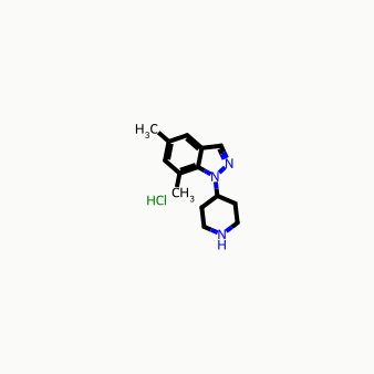 Cc1cc(C)c2c(cnn2C2CCNCC2)c1.Cl